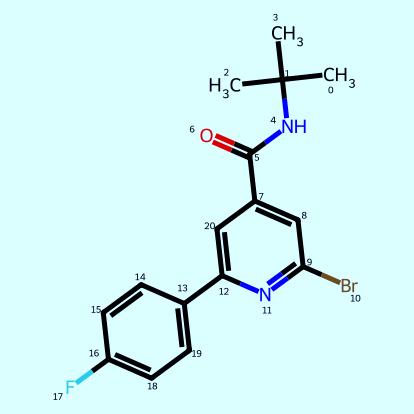 CC(C)(C)NC(=O)c1cc(Br)nc(-c2ccc(F)cc2)c1